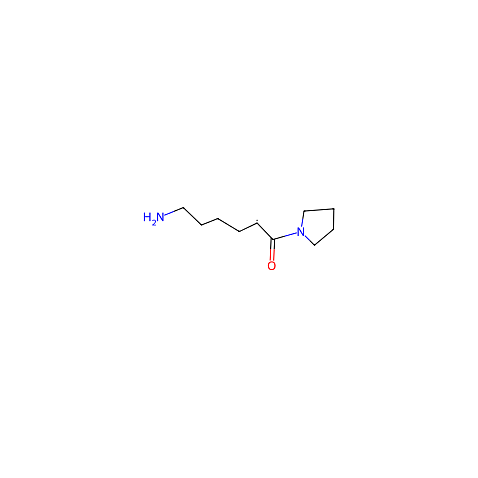 NCCCC[CH]C(=O)N1CCCC1